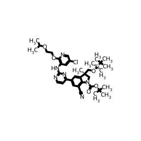 CC(C)OCCOc1ncc(Cl)cc1Nc1nccc(-c2cc(C#N)c3c(c2)[C@@](C)(CO[Si](C)(C)C(C)(C)C)CN3C(=O)OC(C)(C)C)n1